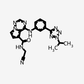 CC(C)n1nnc(-c2cccc(Nc3ncnn4ccc(C(=O)NCC#N)c34)c2)n1